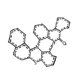 O=c1c2ccccc2c2cccc3c2n1c1cccc2sc4ccc5ccccc5c4n3-c21